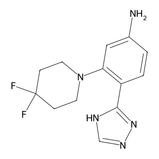 Nc1ccc(-c2nnc[nH]2)c(N2CCC(F)(F)CC2)c1